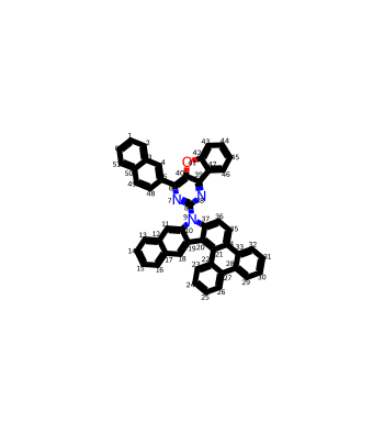 c1ccc2cc(-c3nc(-n4c5cc6ccccc6cc5c5c6c7ccccc7c7ccccc7c6ccc54)nc4c3oc3ccccc34)ccc2c1